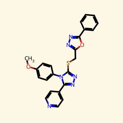 COc1ccc(-n2c(SCc3nnc(-c4ccccc4)o3)nnc2-c2ccncc2)cc1